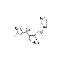 Cc1cc(C(=O)N2CCNCC2COc2cccnc2)no1